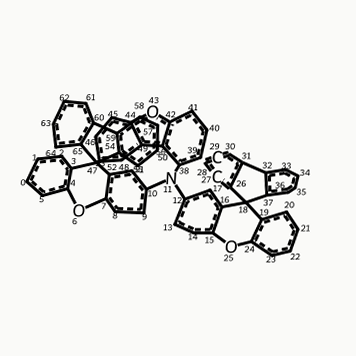 c1ccc2c(c1)Oc1ccc(N(c3ccc4c(c3)C3(c5ccccc5O4)c4ccccc4-c4ccccc43)c3cccc4oc5ccccc5c34)cc1C21c2ccccc2-c2ccccc21